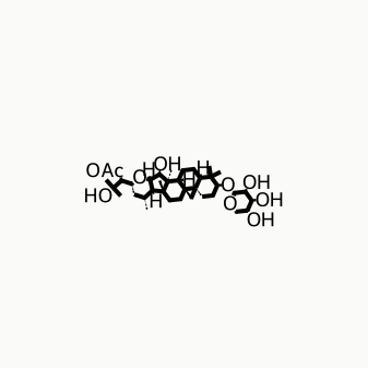 CC(=O)O[C@@H]([C@H]1C[C@@H](C)[C@H]2[C@H](O1)[C@H](O)[C@@]1(C)[C@@H]3CC[C@H]4C(C)(C)[C@@H](O[C@@H]5OCC(O)[C@H](O)[C@H]5O)CC[C@@]45C[C@@]35CC[C@]21C)C(C)(C)O